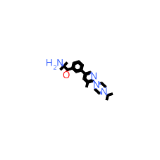 Cc1cc(-c2cccc(C(=O)C(C)(C)N)c2)cnc1N1CCN(C(C)C)CC1